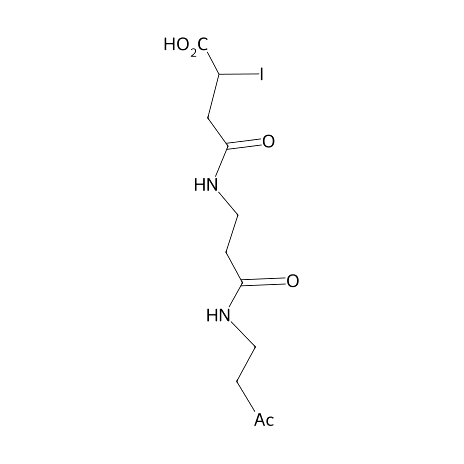 CC(=O)CCNC(=O)CCNC(=O)CC(I)C(=O)O